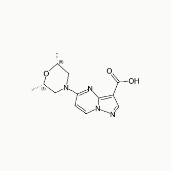 C[C@@H]1CN(c2ccn3ncc(C(=O)O)c3n2)C[C@H](C)O1